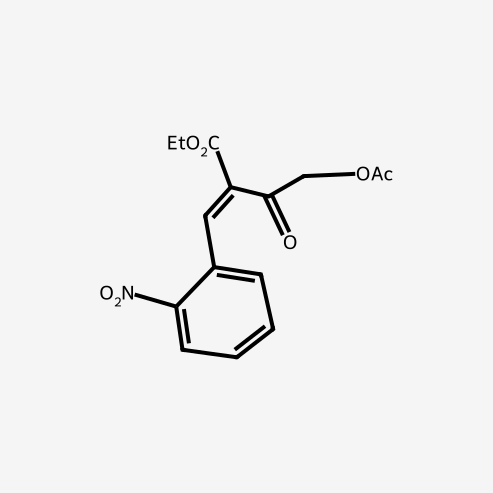 CCOC(=O)/C(=C/c1ccccc1[N+](=O)[O-])C(=O)COC(C)=O